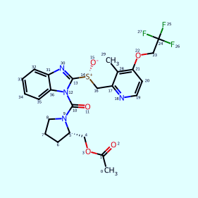 CC(=O)OC[C@@H]1CCCN1C(=O)n1c([S@+]([O-])Cc2nccc(OCC(F)(F)F)c2C)nc2ccccc21